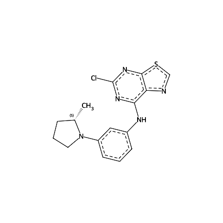 C[C@H]1CCCN1c1cccc(Nc2nc(Cl)nc3scnc23)c1